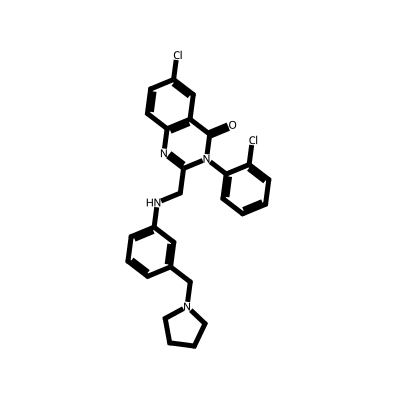 O=c1c2cc(Cl)ccc2nc(CNc2cccc(CN3CCCC3)c2)n1-c1ccccc1Cl